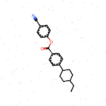 CCC1CCC(c2ccc(C(=O)Oc3ccc(C#N)cc3)cc2)CC1